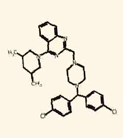 CC1CC(C)CN(c2nc(CN3CCN(C(c4ccc(Cl)cc4)c4ccc(Cl)cc4)CC3)nc3ccccc23)C1